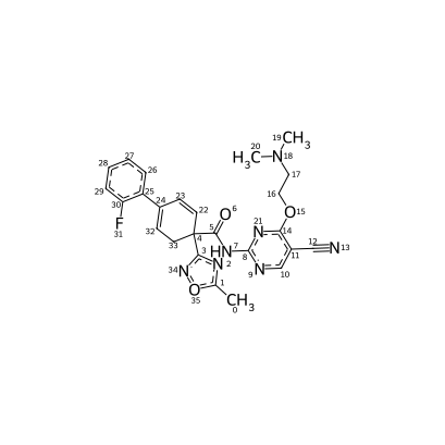 Cc1nc(C2(C(=O)Nc3ncc(C#N)c(OCCN(C)C)n3)C=CC(c3ccccc3F)=CC2)no1